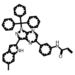 C=CC(=O)Nc1cccc(-c2cnc3c(n2)c(-c2cc4ccc(C)cc4[nH]2)nn3C(c2ccccc2)(c2ccccc2)c2ccccc2)c1